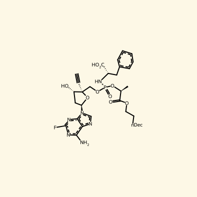 C#C[C@]1(CO[P@@](=O)(N[C@@H](Cc2ccccc2)C(=O)O)O[C@@H](C)C(=O)OCCCCCCCCCCCC)O[C@@H](n2cnc3c(N)nc(F)nc32)C[C@@H]1O